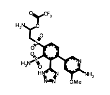 COc1cc(-c2ccc(S(=O)(=O)CC(N)OC(=O)C(F)(F)F)c(S(N)(=O)=O)c2-c2nnn[nH]2)cnc1N